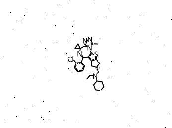 CCN(C[C@@H]1Cc2sc3c(c2C1)C(c1ccccc1Cl)=NC1(CC1)c1nnc(C)n1-3)C1CCCCC1